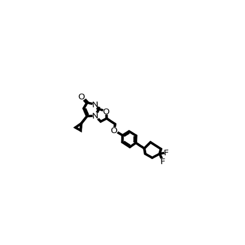 O=c1cc(C2CC2)n2c(n1)OC(COc1ccc(C3CCC(F)(F)CC3)cc1)C2